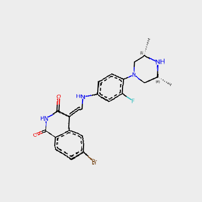 C[C@@H]1CN(c2ccc(NC=C3C(=O)NC(=O)c4ccc(Br)cc43)cc2F)C[C@H](C)N1